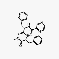 COC(=O)[C@H](Cc1ccccc1)NC(=O)[C@H](Cc1ccccc1)NC(=O)c1cnccn1